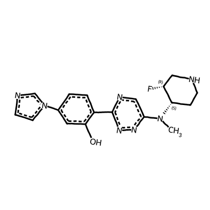 CN(c1cnc(-c2ccc(-n3ccnc3)cc2O)nn1)[C@H]1CCNC[C@H]1F